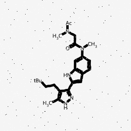 CC(=O)N(C)CC(=O)N(C)c1ccc2cc(-c3n[nH]c(C)c3CCC(C)(C)C)[nH]c2c1